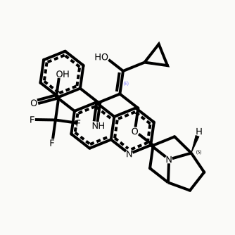 N=C(/C(COC1CC2CC[C@@H](C1)N2c1ccc2cc(C(=O)O)ccc2n1)=C(\O)C1CC1)c1ccccc1C(F)(F)F